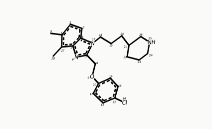 Cc1ccc2c(nc(COc3ccc(Cl)cc3)n2CCCC2CCCNC2)c1C